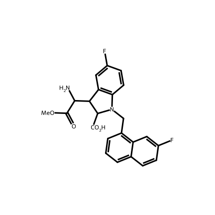 COC(=O)C(N)C1c2cc(F)ccc2N(Cc2cccc3ccc(F)cc23)C1C(=O)O